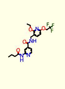 CCCC(=O)Nc1cc(C(=O)NCc2ccc(OCC(F)(F)F)nc2OCC)ccn1